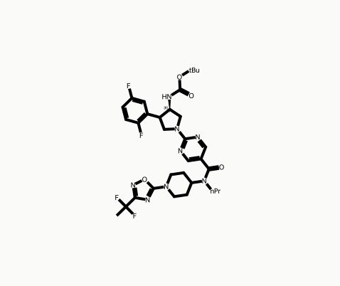 CCCN(C(=O)c1cnc(N2CC(c3cc(F)ccc3F)[C@@H](NC(=O)OC(C)(C)C)C2)nc1)C1CCN(c2nc(C(C)(F)F)no2)CC1